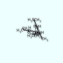 CCCCCC(=O)NC(CCCCNC(=O)CCCCC(C)C)C(=O)NC(CCCCNC(=O)CCCCC(C)C)C(=O)NC(C)C